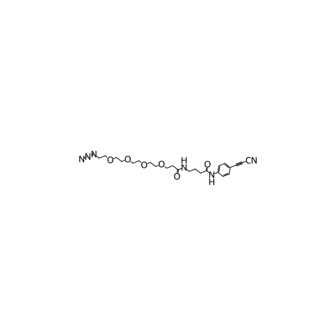 N#CC#Cc1ccc(NC(=O)CCCNC(=O)CCOCCOCCOCCOCCN=[N+]=[N-])cc1